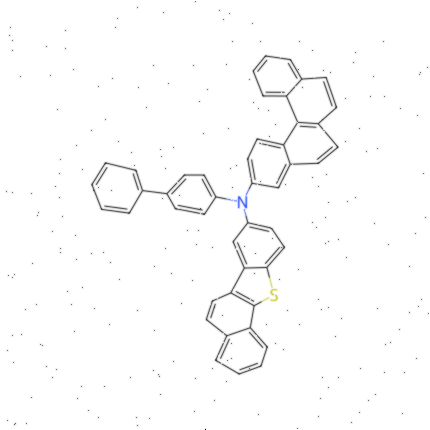 c1ccc(-c2ccc(N(c3ccc4c(ccc5ccc6ccccc6c54)c3)c3ccc4sc5c6ccccc6ccc5c4c3)cc2)cc1